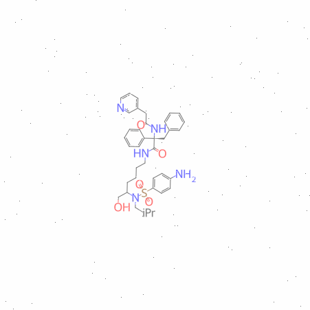 CC(C)CN(C(CO)CCCCNC(=O)[C@@](Cc1ccccc1)(NC(=O)Cc1cccnc1)c1ccccc1)S(=O)(=O)c1ccc(N)cc1